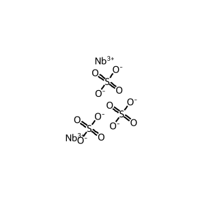 O=S(=O)([O-])[O-].O=S(=O)([O-])[O-].O=S(=O)([O-])[O-].[Nb+3].[Nb+3]